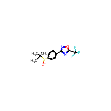 CC(C)(C)[S+]([O-])c1ccc(-c2noc(C(F)(F)F)n2)cc1